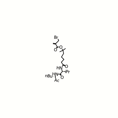 C=C(CBr)C(=O)OC(C)(C)CCCCC(=O)N[C@H](C(=O)N[C@@H](CCCC)C(C)=O)C(C)C